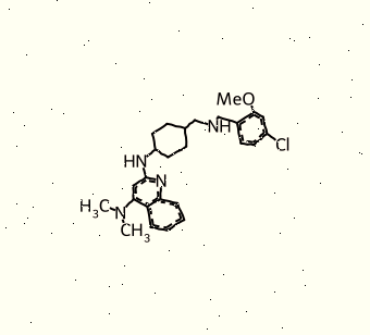 COc1cc(Cl)ccc1CNCC1CCC(Nc2cc(N(C)C)c3ccccc3n2)CC1